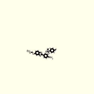 CCOCOc1ccc2nc(-c3ccc(N)c(OS(=O)(=O)c4ccc(C)cc4)c3)sc2c1